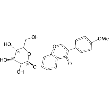 COc1ccc(-c2coc3cc(O[C@@H]4OC(CO)[C@@H](O)[C@H](O)C4O)ccc3c2=O)cc1